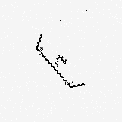 CCCCCC/C=C\C(=O)OCCCCCCCCC(CCCCCCCCOC(=O)/C=C\CCCCCC)O/N=C/CC(C)C(C)CN(C)C